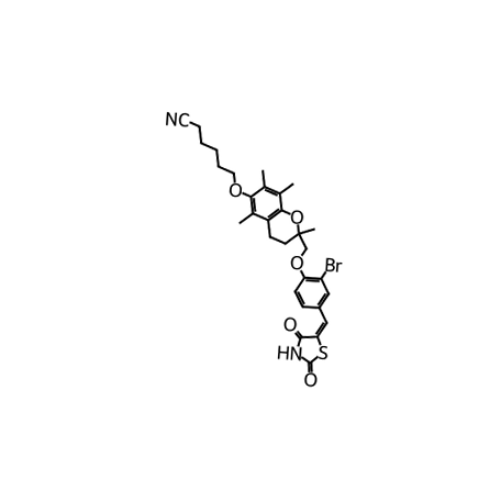 Cc1c(C)c2c(c(C)c1OCCCCCC#N)CCC(C)(COc1ccc(/C=C3/SC(=O)NC3=O)cc1Br)O2